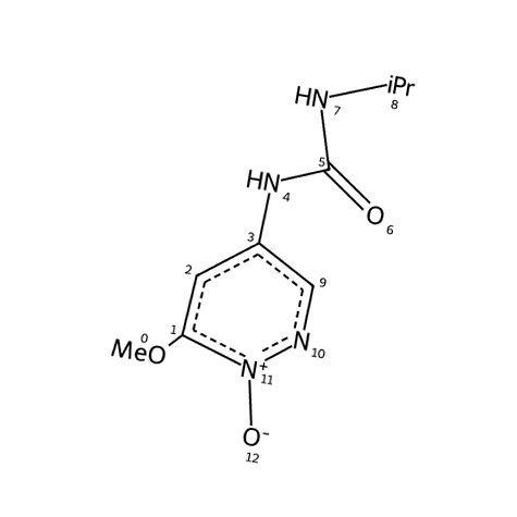 COc1cc(NC(=O)NC(C)C)cn[n+]1[O-]